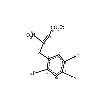 CCOC(=O)C=C(Cc1cc(F)c(F)cc1F)[N+](=O)[O-]